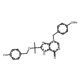 COc1ccc(Cn2cnc(=O)c3[nH]c(C(C)(C)OCc4ccc(F)cc4)nc32)cc1